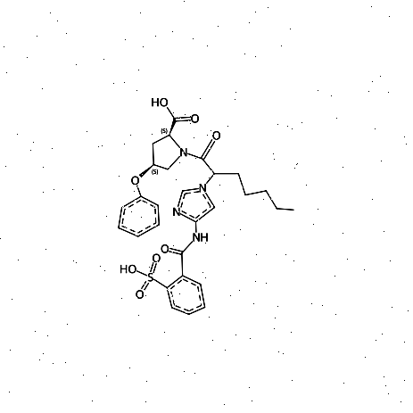 CCCCCC(C(=O)N1C[C@@H](Oc2ccccc2)C[C@H]1C(=O)O)n1cnc(NC(=O)c2ccccc2S(=O)(=O)O)c1